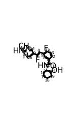 CNc1ncc(/C(F)=C/c2cc(C(=O)N[C@H]3CCCC[C@@H]3O)ccc2F)cn1